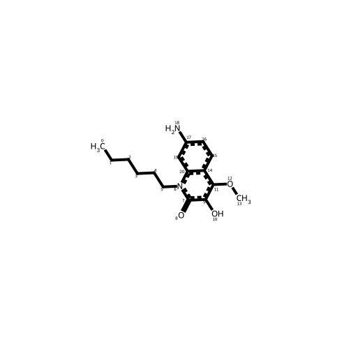 CCCCCCn1c(=O)c(O)c(OC)c2ccc(N)cc21